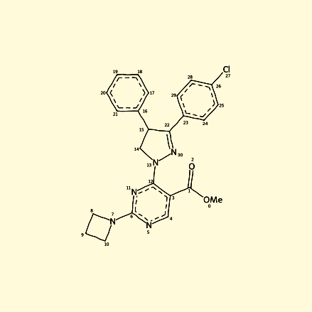 COC(=O)c1cnc(N2CCC2)nc1N1CC(c2ccccc2)C(c2ccc(Cl)cc2)=N1